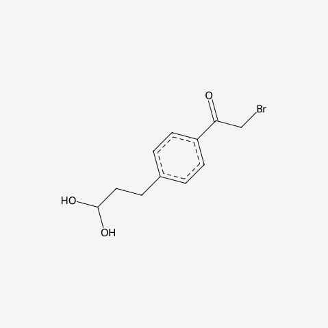 O=C(CBr)c1ccc(CCC(O)O)cc1